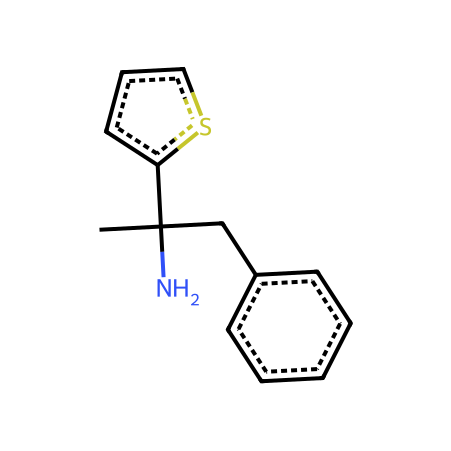 CC(N)(Cc1ccccc1)c1cccs1